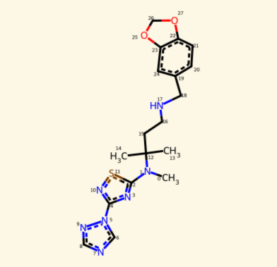 CN(c1nc(-n2cncn2)ns1)C(C)(C)CCNCc1ccc2c(c1)OCO2